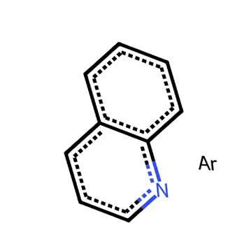 [Ar].c1ccc2ncccc2c1